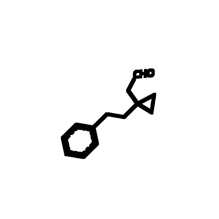 O=CCC1(CCc2ccccc2)CC1